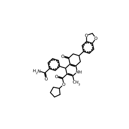 CC1=C(C(=O)OC2CCCC2)C(c2cccc(C(N)=O)c2)C2=C(CC(c3ccc4c(c3)OCO4)CC2=O)N1